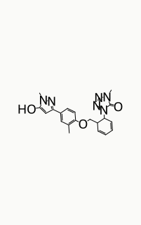 Cc1cc(-c2cc(O)n(C)n2)ccc1OCC1C=CC=CC1n1nnn(C)c1=O